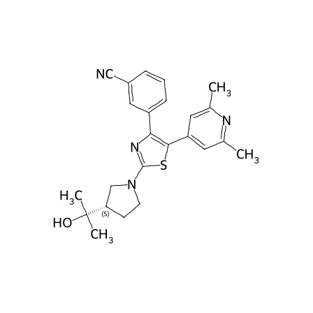 Cc1cc(-c2sc(N3CC[C@H](C(C)(C)O)C3)nc2-c2cccc(C#N)c2)cc(C)n1